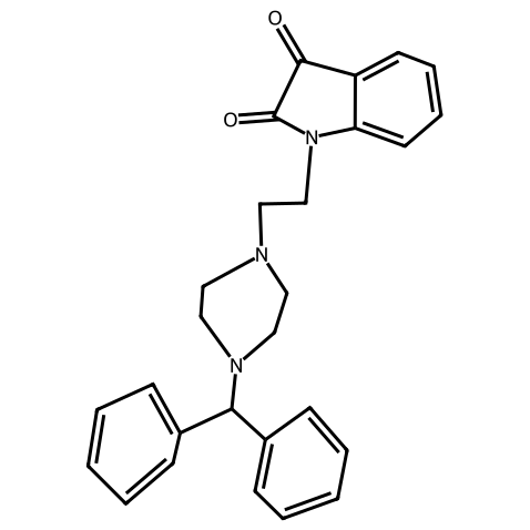 O=C1C(=O)N(CCN2CCN(C(c3ccccc3)c3ccccc3)CC2)c2ccccc21